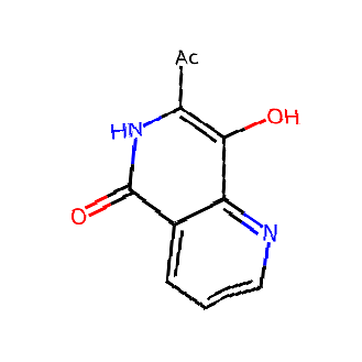 CC(=O)c1[nH]c(=O)c2cccnc2c1O